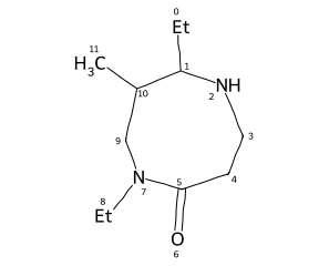 CCC1NCCC(=O)N(CC)CC1C